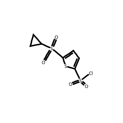 O=S(=O)(Cl)c1ccc(S(=O)(=O)C2CC2)s1